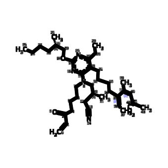 C=CC(=O)CCCCN(C[C@@H](C)CC#N)c1nc(OC[C@@H](C)CCCC)nc(CC)c1CCCCC(=C/C)/C(C)=C\C(=C)C